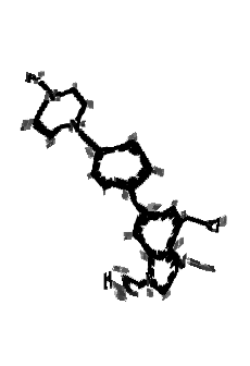 CC(C)N1CCN(c2ccc(-c3cc(Cl)c4ncn(C)c4c3)cc2)CC1